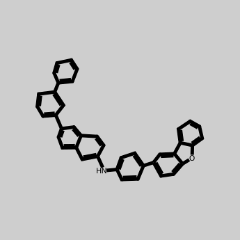 c1ccc(-c2cccc(-c3ccc4cc(Nc5ccc(-c6ccc7oc8ccccc8c7c6)cc5)ccc4c3)c2)cc1